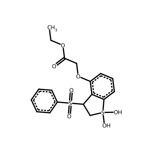 CCOC(=O)COc1cccc2c1C(S(=O)(=O)c1ccccc1)CS2(O)O